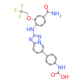 NC(=O)c1ccc(Nc2nc3ccc(-c4ccc(NC(=O)O)cc4)cn3n2)c(OCC(F)(F)F)c1